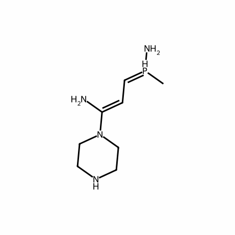 C/[PH](N)=C\C=C(/N)N1CCNCC1